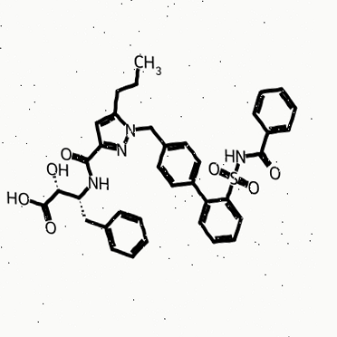 CCCc1cc(C(=O)N[C@H](Cc2ccccc2)[C@@H](O)C(=O)O)nn1Cc1ccc(-c2ccccc2S(=O)(=O)NC(=O)c2ccccc2)cc1